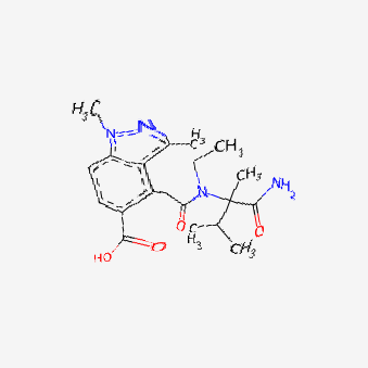 CCN(C(=O)c1c(C(=O)O)ccc2c1c(C)nn2C)C(C)(C(N)=O)C(C)C